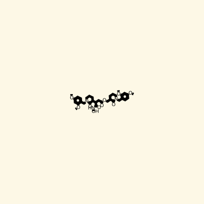 COc1ccc(CN2CCCC(COC(=O)CC(C(=O)NO)C3CCCN(Cc4ccc(OC)cc4OC)C3=O)C2=O)c(OC)c1